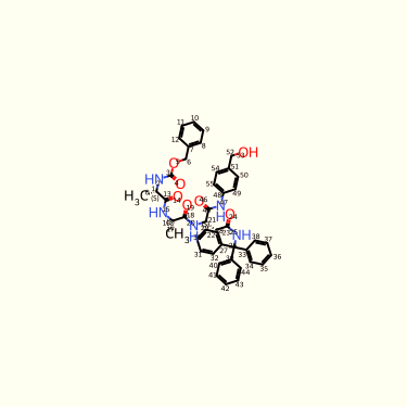 C[C@H](NC(=O)OCc1ccccc1)C(=O)N[C@@H](C)C(=O)N[C@@H](CC(=O)NC(c1ccccc1)(c1ccccc1)c1ccccc1)C(=O)Nc1ccc(CO)cc1